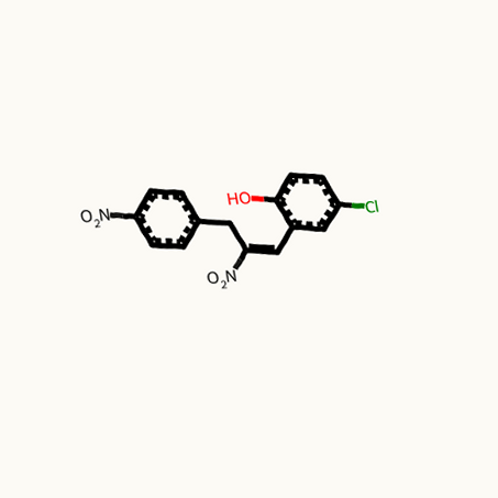 O=[N+]([O-])C(=Cc1cc(Cl)ccc1O)Cc1ccc([N+](=O)[O-])cc1